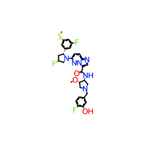 CO[C@H]1CN(Cc2ccc(F)c(O)c2)C[C@@H]1NC(=O)c1cnc2ccc(N3C[C@@H](F)C[C@@H]3c3cc(F)cc(SC)c3)nn12